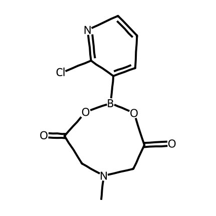 CN1CC(=O)OB(c2cccnc2Cl)OC(=O)C1